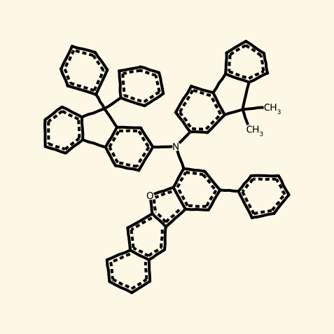 CC1(C)c2ccccc2-c2ccc(N(c3ccc4c(c3)C(c3ccccc3)(c3ccccc3)c3ccccc3-4)c3cc(-c4ccccc4)cc4c3oc3cc5ccccc5cc34)cc21